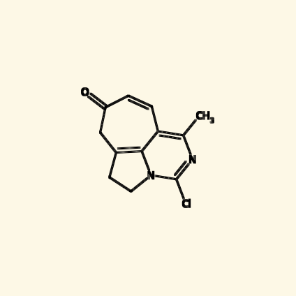 CC1=C2C=CC(=O)CC3=C2N(CC3)C(Cl)=N1